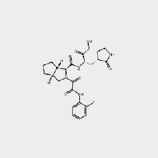 O=C(Nc1ccccc1F)C(=O)N1C[C@@H]2CCC[C@@H]2[C@H]1C(=O)N[C@@H](C[C@@H]1CCNC1=O)C(=O)CO